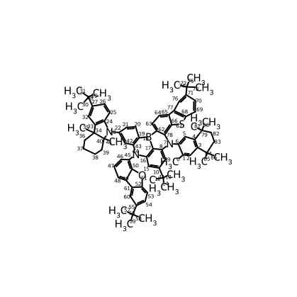 Cc1cc2c(cc1N1c3cc(C(C)(C)C)cc4c3B(c3ccc(N5c6ccc(C(C)(C)C)cc6C6(C)CCCCC56C)cc3N4c3cccc4c3oc3ccc(C(C)(C)C)cc34)c3ccc4c(sc5ccc(C(C)(C)C)cc54)c31)C(C)(C)CCC2(C)C